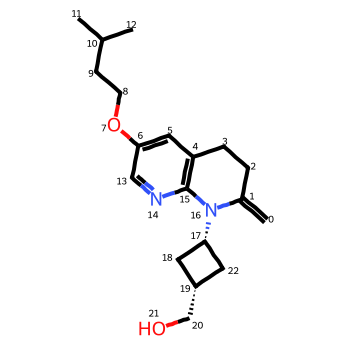 C=C1CCc2cc(OCCC(C)C)cnc2N1[C@H]1C[C@@H](CO)C1